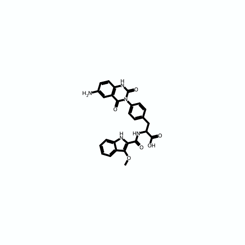 COc1c(C(=O)NC(Cc2ccc(-n3c(=O)[nH]c4ccc(N)cc4c3=O)cc2)C(=O)O)[nH]c2ccccc12